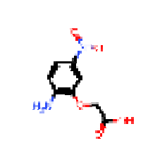 Nc1ccc([N+](=O)[O-])cc1OCC(=O)O